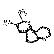 Nc1cc2ccc3ncccc3c2nc1N